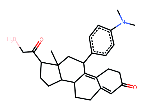 BCC(=O)C1CCC2C3CCC4=CC(=O)CCC4=C3C(c3ccc(N(C)C)cc3)CC12C